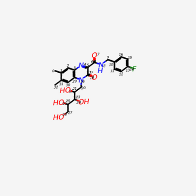 Cc1cc2nc(C(=O)NCc3ccc(F)cc3)c(=O)n(CC(O)C(O)C(O)CO)c2cc1C